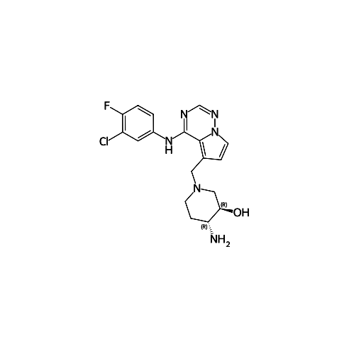 N[C@@H]1CCN(Cc2ccn3ncnc(Nc4ccc(F)c(Cl)c4)c23)C[C@H]1O